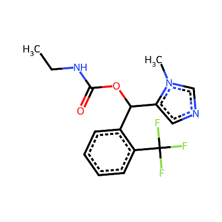 CCNC(=O)OC(c1ccccc1C(F)(F)F)c1cncn1C